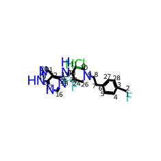 Cl.FCc1ccc(CCN2CC[C@@H](Nc3ncnc4[nH]ncc34)C(F)(F)C2)cc1